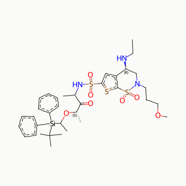 CCN[C@H]1CN(CCCOC)S(=O)(=O)c2sc(S(=O)(=O)NC(C)C(=O)[C@H](C)OC(C)[Si](c3ccccc3)(c3ccccc3)C(C)(C)C)cc21